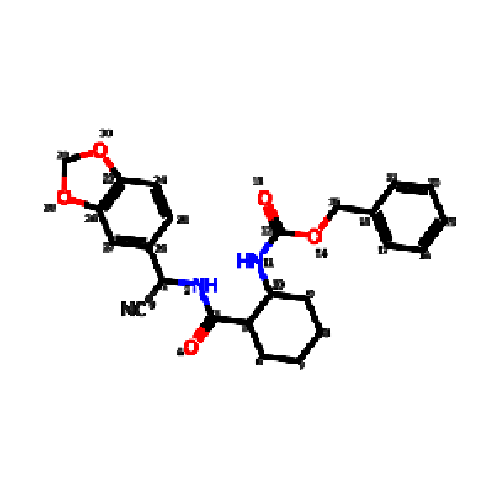 N#CC(NC(=O)C1CCCCC1NC(=O)OCc1ccccc1)c1ccc2c(c1)OCO2